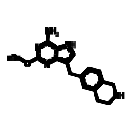 CCCCOc1nc(N)c2[nH]cc(Cc3ccc4c(c3)CCNC4)c2n1